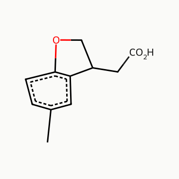 Cc1ccc2c(c1)C(CC(=O)O)CO2